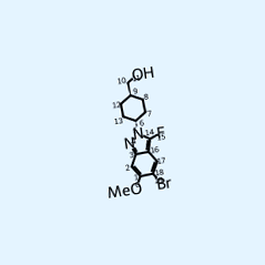 COc1cc2nn([C@H]3CC[C@H](CO)CC3)c(F)c2cc1Br